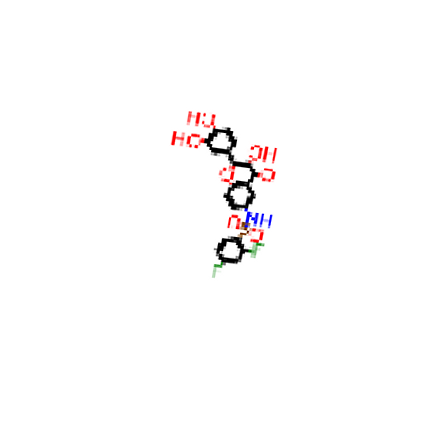 O=c1c(O)c(-c2ccc(O)c(O)c2)oc2ccc(NS(=O)(=O)c3ccc(F)cc3F)cc12